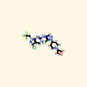 FC(F)(F)Cn1nc(Cl)c2cnc(Nc3cnn(C4CCN(C5COC5)CC4)c3Cl)nc21